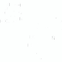 CC1(C)c2ccccc2-c2nc3ccc4ccccc4c3c(-c3ccc(B4OC(C)(C)C(C)(C)O4)cc3)c21